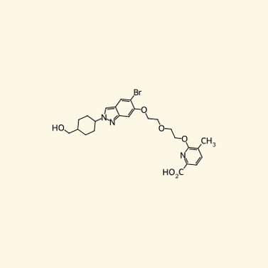 Cc1ccc(C(=O)O)nc1OCCOCCOc1cc2nn(C3CCC(CO)CC3)cc2cc1Br